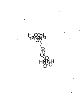 CCCC(C)(C)C(=O)N(CC)CCCCC1CCN(CC(=O)c2ccc3c(n2)Nc2ccccc2C(=O)N3)CC1